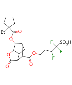 CCC1(C(=O)OC2C3CC4C2OC(=O)C4C3C(=O)OCCC(F)C(F)(F)S(=O)(=O)O)CCCC1